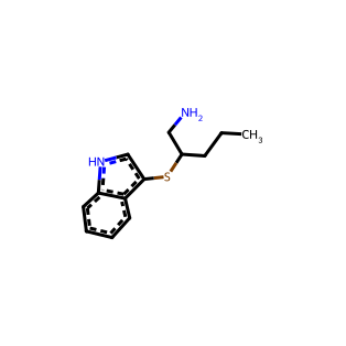 CCCC(CN)Sc1c[nH]c2ccccc12